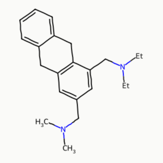 CCN(CC)Cc1cc(CN(C)C)cc2c1Cc1ccccc1C2